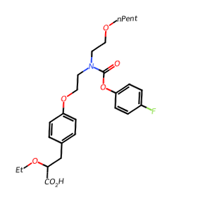 CCCCCOCCN(CCOc1ccc(CC(OCC)C(=O)O)cc1)C(=O)Oc1ccc(F)cc1